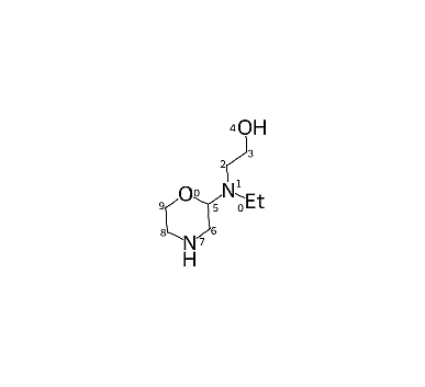 CCN(CCO)C1CNCCO1